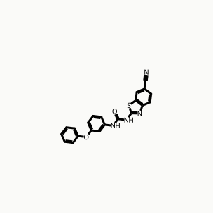 N#Cc1ccc2nc(NC(=O)Nc3cccc(Oc4ccccc4)c3)sc2c1